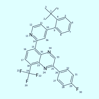 CC(C)(C)c1ccccc1-c1ccnc(-c2ccc(C(F)(F)F)c3nc(-c4ccc(F)cc4)cnc23)c1